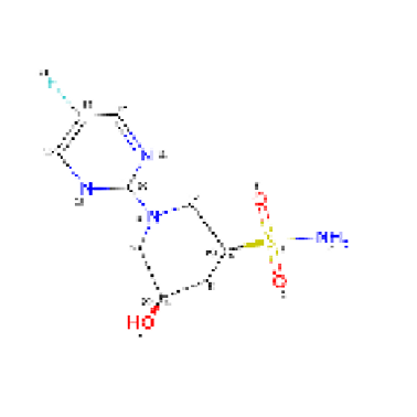 NS(=O)(=O)[C@H]1C[C@@H](O)CN(c2ncc(F)cn2)C1